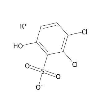 O=S(=O)([O-])c1c(O)ccc(Cl)c1Cl.[K+]